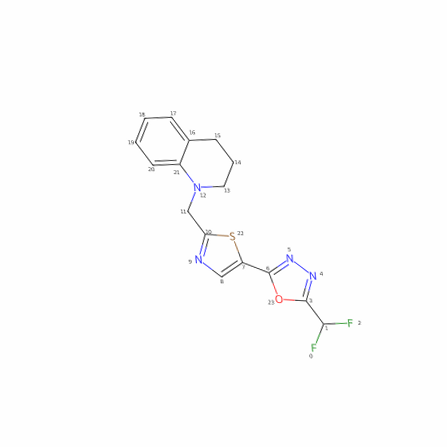 FC(F)c1nnc(-c2cnc(CN3CCCc4ccccc43)s2)o1